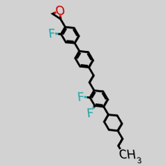 CCCC1CCC(c2ccc(CCc3ccc(-c4ccc(C5CO5)c(F)c4)cc3)c(F)c2F)CC1